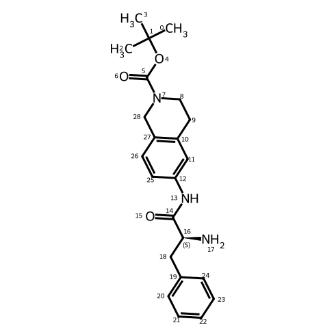 CC(C)(C)OC(=O)N1CCc2cc(NC(=O)[C@@H](N)Cc3ccccc3)ccc2C1